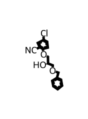 N#Cc1cc(Cl)ccc1OC[C@@H](O)COCc1ccccc1